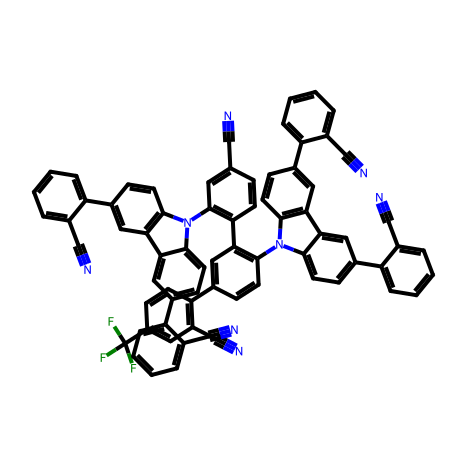 N#Cc1ccc(-c2cc(-c3ccc(C(F)(F)F)cc3C#N)ccc2-n2c3ccc(-c4ccccc4C#N)cc3c3cc(-c4ccccc4C#N)ccc32)c(-n2c3ccc(-c4ccccc4C#N)cc3c3cc(-c4ccccc4C#N)ccc32)c1